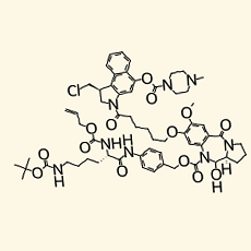 C=CCOC(=O)N[C@@H](CCCCNC(=O)OC(C)(C)C)C(=O)Nc1ccc(COC(=O)N2c3cc(OCCCCCC(=O)N4C[C@@H](CCl)c5c4cc(OC(=O)N4CCN(C)CC4)c4ccccc54)c(OC)cc3C(=O)N3CCC[C@H]3C2O)cc1